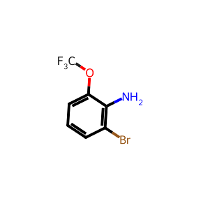 Nc1c(Br)cccc1OC(F)(F)F